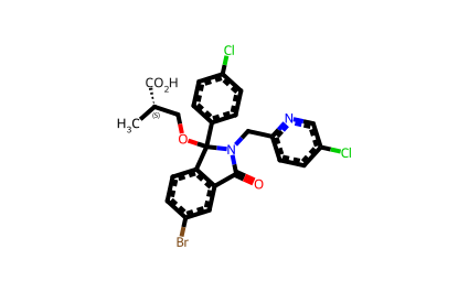 C[C@@H](COC1(c2ccc(Cl)cc2)c2ccc(Br)cc2C(=O)N1Cc1ccc(Cl)cn1)C(=O)O